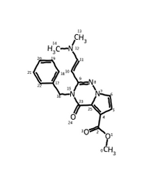 COC(=O)c1ccn2nc(C=CN(C)C)n(Cc3ccccc3)c(=O)c12